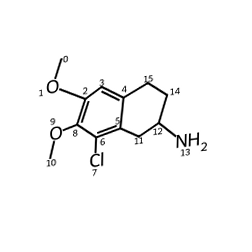 COc1cc2c(c(Cl)c1OC)CC(N)CC2